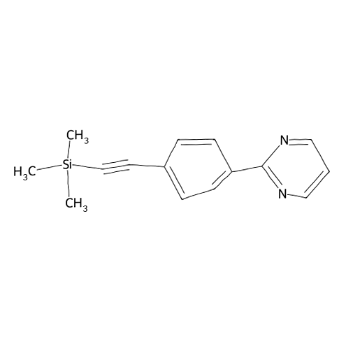 C[Si](C)(C)C#Cc1ccc(-c2ncccn2)cc1